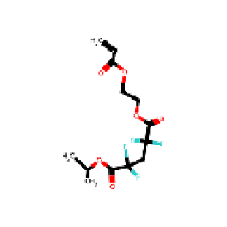 C=CC(=O)OCCOC(=O)C(F)(F)CC(F)(F)C(=O)OC(C)C